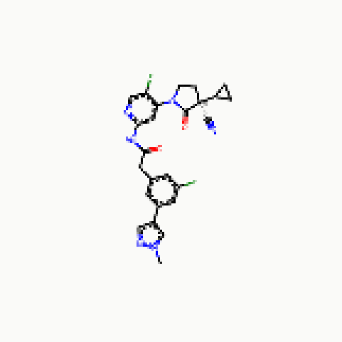 Cn1cc(-c2cc(F)cc(CC(=O)Nc3cc(N4CC[C@@](C#N)(C5CC5)C4=O)c(F)cn3)c2)cn1